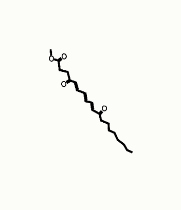 CCCCCCCCC(=O)C=CC=CC=CC(=O)CCC(=O)OC